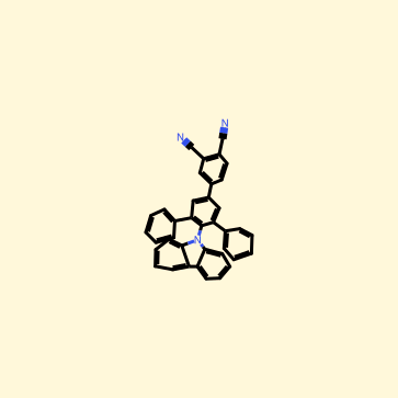 N#Cc1ccc(-c2cc(-c3ccccc3)c(-n3c4ccccc4c4ccccc43)c(-c3ccccc3)c2)cc1C#N